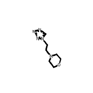 [c]1nnnn1CCN1CCOCC1